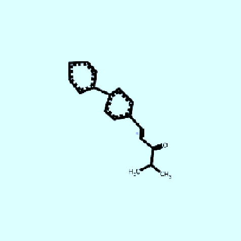 CC(C)C(=O)/C=C/c1ccc(-c2ccccc2)cc1